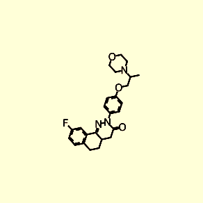 CC(COc1ccc(N2N=C3c4cc(F)ccc4CCC3CC2=O)cc1)N1CCOCC1